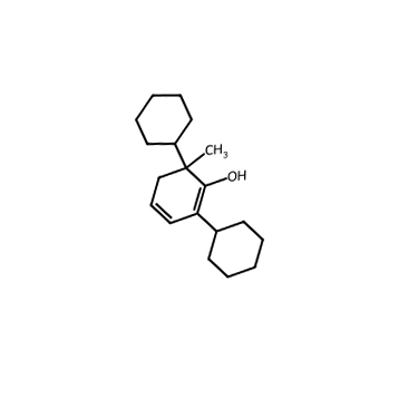 CC1(C2CCCCC2)CC=CC(C2CCCCC2)=C1O